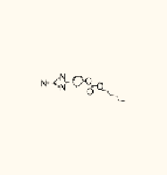 CCCCCCOC(=O)Oc1ccc(-c2ncc(C#N)cn2)cc1